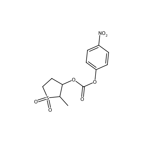 CC1C(OC(=O)Oc2ccc([N+](=O)[O-])cc2)CCS1(=O)=O